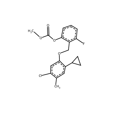 COC(=O)Oc1cccc(F)c1COc1cc(Cl)c(C)cc1C1CC1